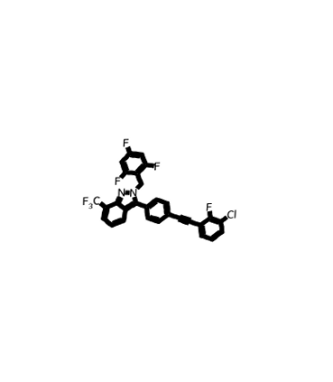 Fc1cc(F)c(Cn2nc3c(C(F)(F)F)cccc3c2-c2ccc(C#Cc3cccc(Cl)c3F)cc2)c(F)c1